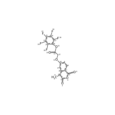 Cn1c(=O)oc(=O)c2ccc(OCC(=O)Oc3c(F)c(F)c(F)c(F)c3F)cc21